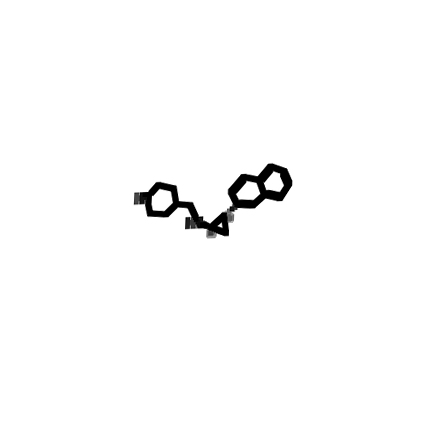 c1ccc2cc([C@@H]3C[C@H]3NCC3CCNCC3)ccc2c1